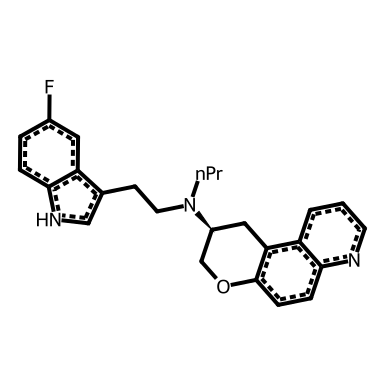 CCCN(CCc1c[nH]c2ccc(F)cc12)[C@@H]1COc2ccc3ncccc3c2C1